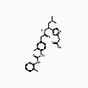 Cc1ccccc1NC(=O)Nc1ccc(CC(=O)NC(CC(C)C)c2coc(CC(=O)O)n2)cc1C